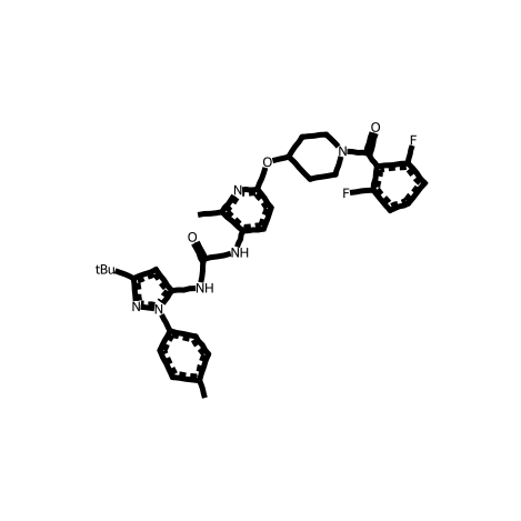 Cc1ccc(-n2nc(C(C)(C)C)cc2NC(=O)Nc2ccc(OC3CCN(C(=O)c4c(F)cccc4F)CC3)nc2C)cc1